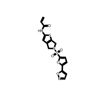 C=CC(=O)Nc1cc2c(s1)CN(S(=O)(=O)c1ccc(-c3ccno3)o1)C2